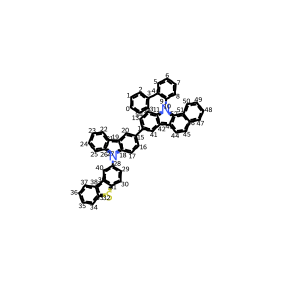 c1ccc(-c2ccccc2-n2c3ccc(-c4ccc5c(c4)c4ccccc4n5-c4ccc5sc6ccccc6c5c4)cc3c3ccc4ccccc4c32)cc1